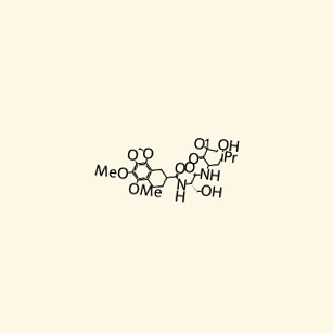 COc1c2c(c3c(c1OC)OCO3)CC(C(=O)N[C@@H](CO)C(=O)NC(CC(C)C)C(=O)C1(CO)CO1)CC2